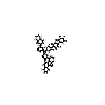 c1cc(-c2ccc3ccccc3c2)cc(N(c2ccc(-c3ccc4c(c3)sc3ccccc34)cc2)c2cccc(-c3cccc4oc5c6ccccc6ccc5c34)c2)c1